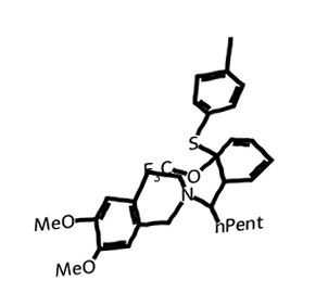 CCCCCC(C1C=CC=CC1(OC(F)(F)F)Sc1ccc(C)cc1)N1CCc2cc(OC)c(OC)cc2C1